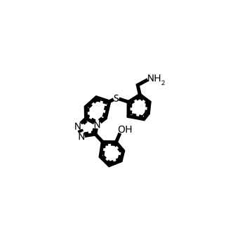 NCc1ccccc1Sc1ccc2nnc(-c3ccccc3O)n2c1